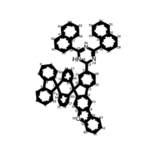 c1ccc2c(c1)-c1ccccc1C21c2ccccc2C2(c3cc(C4N=C(c5cccc6ccccc56)N=C(c5cccc6ccccc56)N4)ccc3-c3cc4c(cc32)oc2ccccc24)c2ccccc21